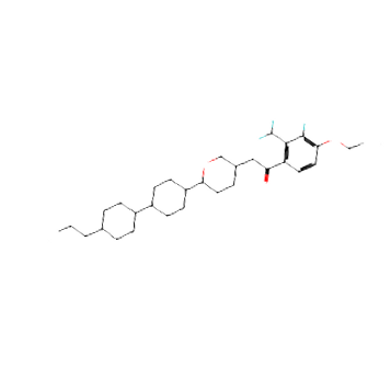 CCCC1CCC(C2CCC(C3CCC(CC(=O)c4ccc(OCC)c(F)c4C(F)F)CO3)CC2)CC1